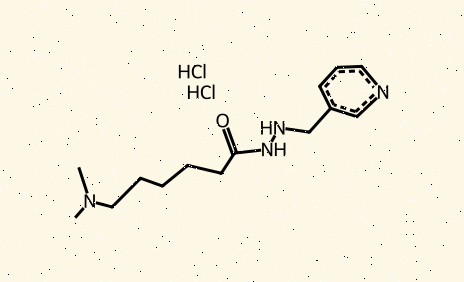 CN(C)CCCCCC(=O)NNCc1cccnc1.Cl.Cl